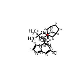 CC(C)(C)OC(=O)N1C2CCC1CC(Nc1nc(Cl)cc3nccn13)C2